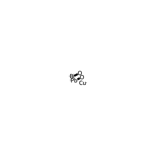 [Cu].[O]=[Bi].[O]=[Pb]